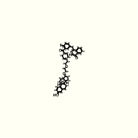 O=C(c1cc(Cc2n[nH]c(=O)c3ccccc23)ccc1F)N1CCN(CCOCCO[C@H]2CC[C@@H]3C2CC[C@@H]2c4ccc(O)cc4CC[C@H]23)CC1